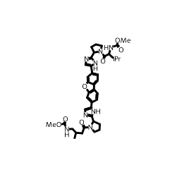 COC(=O)NCC(C)CC(=O)N1CCCC1c1ncc(-c2ccc3c(c2)oc2cc(-c4cnc(C5CCCN5C(=O)C(NC(=O)OC)C(C)C)[nH]4)ccc23)[nH]1